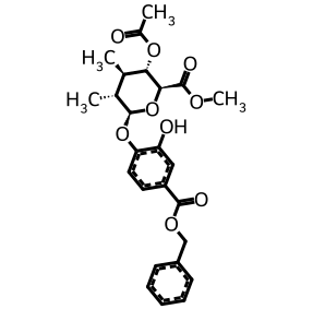 COC(=O)[C@H]1O[C@@H](Oc2ccc(C(=O)OCc3ccccc3)cc2O)[C@H](C)[C@@H](C)[C@@H]1OC(C)=O